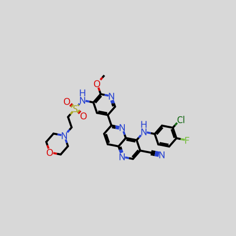 COc1ncc(-c2ccc3ncc(C#N)c(Nc4ccc(F)c(Cl)c4)c3n2)cc1NS(=O)(=O)CCN1CCOCC1